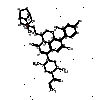 C=CC(=O)N1C[C@H](C)N(c2nc(=O)n3c4c(c(-c5ccc(F)cc5F)c(Cl)cc24)OCC3CCCN2C3CCC2CN(C)C3)C[C@H]1C